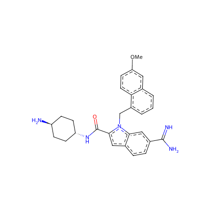 COc1ccc2c(Cn3c(C(=O)N[C@H]4CC[C@H](N)CC4)cc4ccc(C(=N)N)cc43)cccc2c1